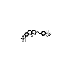 CS(=O)(=O)Nc1ccc(CCN2CCC3(CCc4ccc(NS(C)(=O)=O)cc4C3=O)CC2)cc1